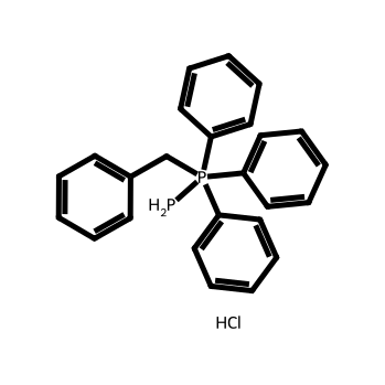 Cl.PP(Cc1ccccc1)(c1ccccc1)(c1ccccc1)c1ccccc1